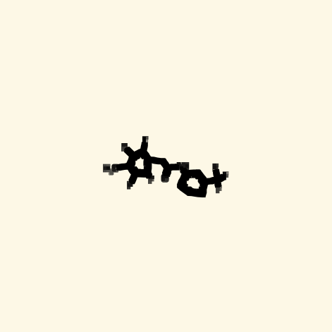 Cc1c(F)c(F)c(CC(=O)Nc2cccc(C(F)(F)F)c2)c(F)c1F